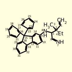 C=C[C@@](C)(CC)C(C=N)Nc1ccc2c(c1)C(c1ccccc1)(c1ccccc1)c1ccccc1-2